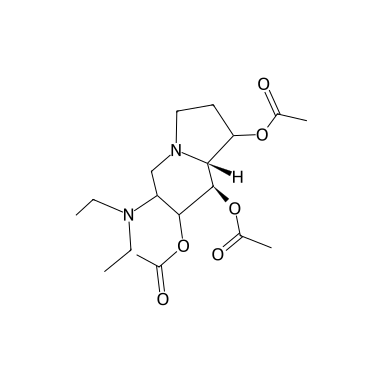 CCN(CC)C1CN2CCC(OC(C)=O)[C@@H]2[C@@H](OC(C)=O)C1OC(C)=O